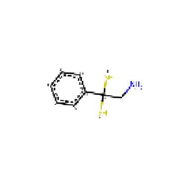 NCC(S)(S)c1ccccc1